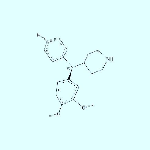 COc1ccc([C@@H](c2ccc(F)cc2)C2CCNCC2)cc1OC